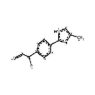 Cc1c[nH]c(-c2ccc(C(Br)C=O)cc2)n1